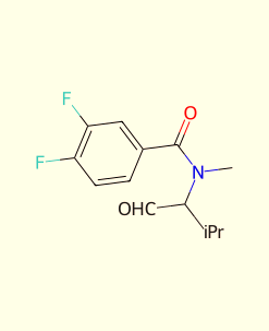 CC(C)C(C=O)N(C)C(=O)c1ccc(F)c(F)c1